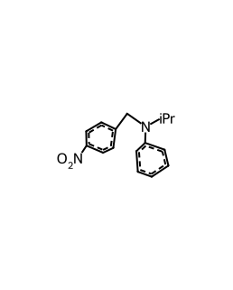 CC(C)N(Cc1ccc([N+](=O)[O-])cc1)c1ccccc1